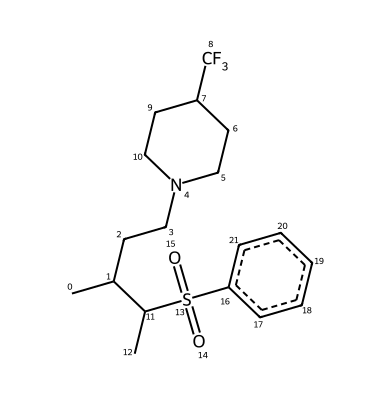 CC(CCN1CCC(C(F)(F)F)CC1)C(C)S(=O)(=O)c1ccccc1